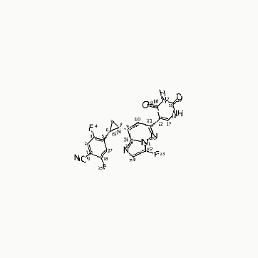 N#Cc1cc(F)c([C@H]2C[C@@H]2c2cc(-c3c[nH]c(=O)[nH]c3=O)nn3c(F)cnc23)cc1F